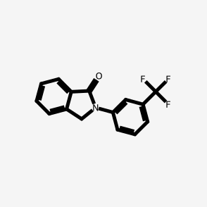 O=C1c2ccccc2CN1c1cccc(C(F)(F)F)c1